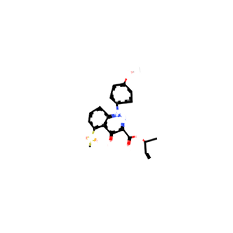 C=CC(C)OC(=O)c1nn(-c2ccc(OC(F)(F)F)cc2)c2cccc(S(C)(=O)=O)c2c1=O